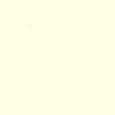 Cc1cc(Cl)ccc1SOON